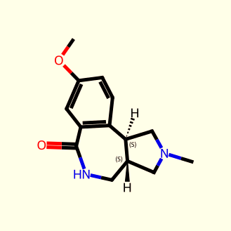 COc1ccc2c(c1)C(=O)NC[C@H]1CN(C)C[C@H]21